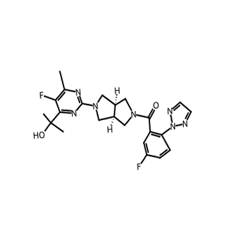 Cc1nc(N2C[C@H]3CN(C(=O)c4cc(F)ccc4-n4nccn4)C[C@H]3C2)nc(C(C)(C)O)c1F